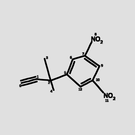 C#CC(C)(C)c1cc([N+](=O)[O-])cc([N+](=O)[O-])c1